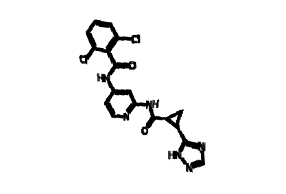 O=C(Nc1ccnc(NC(=O)[C@H]2C[C@H]2c2ncn[nH]2)c1)c1c(Cl)cccc1Cl